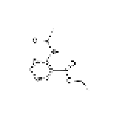 CCOC(=O)c1cncnc1NC(C)=O